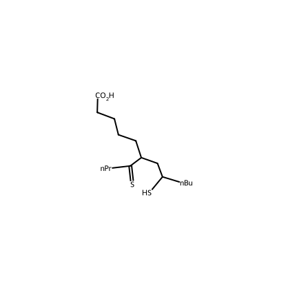 CCCCC(S)CC(CCCCC(=O)O)C(=S)CCC